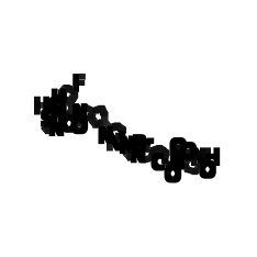 O=C1CCC(N2C(=O)c3cc(Br)c(CN4CCN(c5ccc(-c6ccc7c(c6)C(=O)N(C(C(=O)Nc6nccs6)c6cc(F)ccc6O)C7)nn5)CC4)cc3C2=O)C(=O)N1